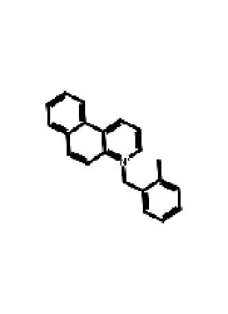 Cc1ccccc1C[n+]1cccc2c3ccccc3ccc21